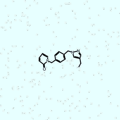 [CH2]Cc1cnn(Cc2ccc(Cn3ccccc3=O)cc2)c1